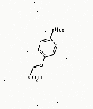 CCCCCCc1ccc(C=CC(=O)O)cc1